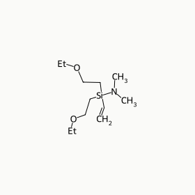 C=C[Si](CCOCC)(CCOCC)N(C)C